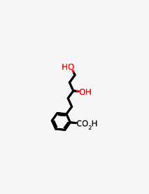 O=C(O)c1ccccc1CCC(O)CCO